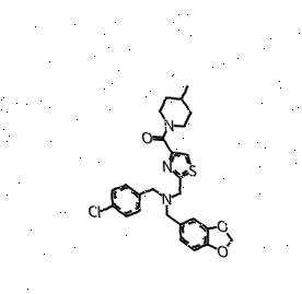 CC1CCN(C(=O)c2csc(CN(Cc3ccc(Cl)cc3)Cc3ccc4c(c3)OCO4)n2)CC1